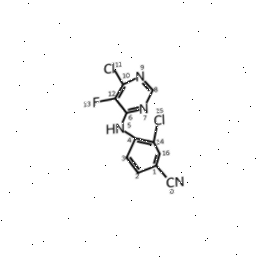 N#Cc1ccc(Nc2ncnc(Cl)c2F)c(Cl)c1